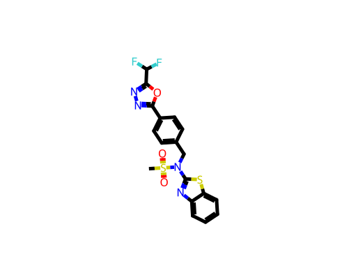 CS(=O)(=O)N(Cc1ccc(-c2nnc(C(F)F)o2)cc1)c1nc2ccccc2s1